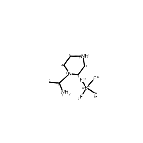 CC(N)N1CCNCC1.F[B-](F)(F)F